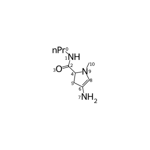 CCCNC(=O)C1CC(N)=CN1C